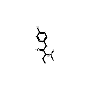 CCC(C(=O)Cc1ccc(C)cc1)N(C)C